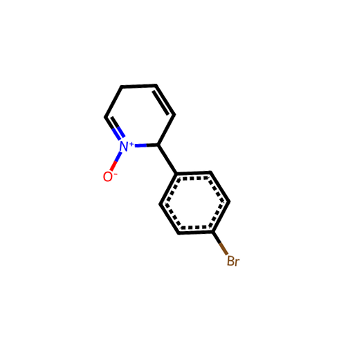 [O-][N+]1=CCC=CC1c1ccc(Br)cc1